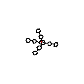 c1ccc(-c2ccc(C34CC5(c6ccc(-c7ccccc7)cc6)CC(c6ccc(-c7ccccc7)cc6)(C3)CC(c3ccc(-c6ccccc6)cc3)(C4)C5)cc2)cc1